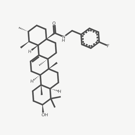 C[C@H]1[C@H](C)CC[C@]2(C(=O)NCc3ccc(F)cc3)CC[C@]3(C)C(=CC[C@@H]4[C@@]5(C)CC[C@H](O)C(C)(C)[C@@H]5CC[C@]43C)[C@H]12